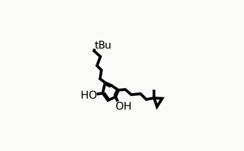 CC(C)(C)CCCCCc1cc(CCCCC2(C)CC2)c(O)cc1O